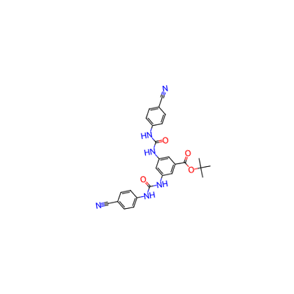 CC(C)(C)OC(=O)c1cc(NC(=O)Nc2ccc(C#N)cc2)cc(NC(=O)Nc2ccc(C#N)cc2)c1